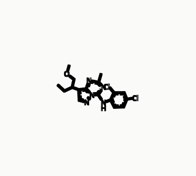 CCC(COC)c1cnn2c(Nc3ccc(Cl)cc3Cl)nc(C)nc12